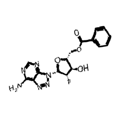 Nc1ncnc2c1nnn2[C@@H]1O[C@H](COC(=O)c2ccccc2)[C@@H](O)[C@@H]1F